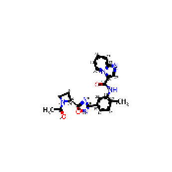 CC(=O)N1CC[C@H]1c1nc(-c2ccc(C)c(NC(=O)c3cnc4ccccn34)c2)no1